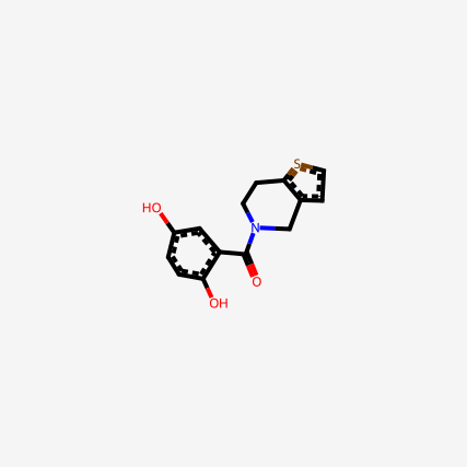 O=C(c1cc(O)ccc1O)N1CCc2sccc2C1